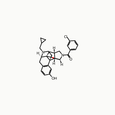 O=C(c1cccc(Cl)c1)N1C[C@H]2C[C@@]34CC[C@@H]1[C@@H]2[C@@]31CCN(CC2CC2)[C@@H]4Cc2ccc(O)cc21